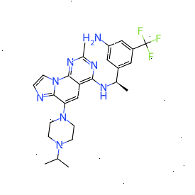 Cc1nc(N[C@H](C)c2cc(N)cc(C(F)(F)F)c2)c2cc(N3CCN(C(C)C)CC3)c3nccn3c2n1